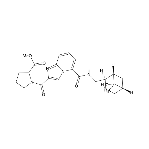 COC(=O)C1CCCN1C(=O)c1cn2c(C(=O)NC[C@@H]3CC[C@H]4C[C@@H]3C4(C)C)cccc2n1